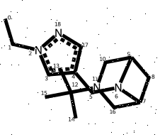 CCn1cc(CN2C3CC2CN(C(C)(C)C)C3)cn1